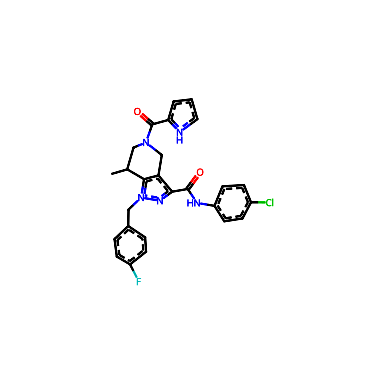 CC1CN(C(=O)c2ccc[nH]2)Cc2c(C(=O)Nc3ccc(Cl)cc3)nn(Cc3ccc(F)cc3)c21